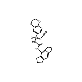 N#CN=S(=O)(NC(=O)Nc1c2c(cc3c1CCC3)CCC2)c1ccc2c(c1)OCCO2